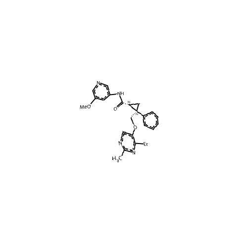 CCc1nc(C)ncc1OC[C@@]1(c2ccccc2)C[C@H]1C(=O)Nc1cncc(OC)c1